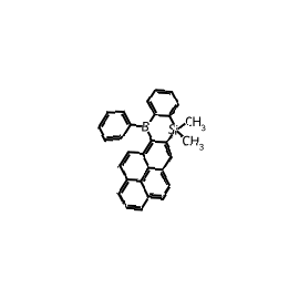 C[Si]1(C)c2ccccc2B(c2ccccc2)c2c1cc1ccc3cccc4ccc2c1c34